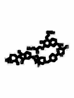 CNC(=O)COc1cc2cc(Nc3nc(N4CCC(CN5CCC6(CN(c7ccc8c(c7)C(=O)N(C7CCC(=O)NC7=O)C8=O)C6)C(F)(F)C5)CC4)ncc3Cl)ccc2n(CCOC)c1=O